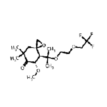 CO[C@@H]1C(=O)C(C)(C)C[C@]2(CO2)[C@H]1C(C)(C)OCCOCC(F)(F)F